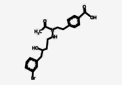 CC(=O)N(CCc1ccc(C(=O)O)cc1)NCCC(O)Cc1cccc(Br)c1